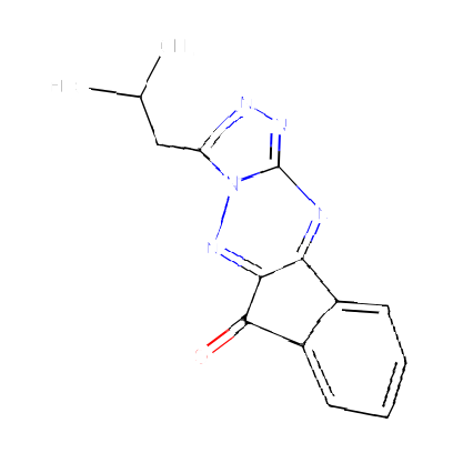 CC(C)Cc1nnc2nc3c(nn12)C(=O)c1ccccc1-3